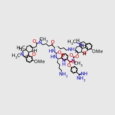 COc1ccc2c3c1O[C@H]1C(CC(=O)N(C)CCCC(=O)[C@H](CCCCN)NC(N[C@H](CCCCN)C(=O)NCCN(C)C(=O)OC4=CC[C@@]5(C)[C@H]6Cc7ccc(OC)c8c7[C@@]5(CCN6C)[C@H]4O8)Oc4ccc(C(=O)Oc5ccc(C(=N)N)cc5)cc4)=CC[C@@]4(C)[C@@H](C2)N(C)CC[C@]314